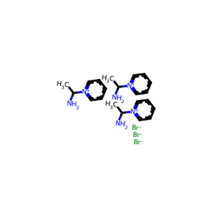 CC(N)[n+]1ccccc1.CC(N)[n+]1ccccc1.CC(N)[n+]1ccccc1.[Br-].[Br-].[Br-]